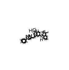 Cc1nnc(Nc2ccc3ncn(Cc4cn(-c5ccccc5)nn4)c3c2)c2ccccc12.Cl